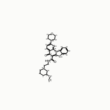 CCOC1CCCN(CCNC(=O)c2c(=O)c3ccc(N4CCOCC4)nc3n3c2sc2ccccc23)C1